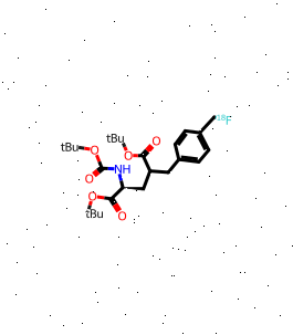 CC(C)(C)OC(=O)N[C@@H](CC(Cc1ccc(C[18F])cc1)C(=O)OC(C)(C)C)C(=O)OC(C)(C)C